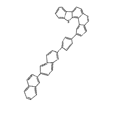 c1ccc2cc(-c3ccc4cc(-c5ccc(-c6ccc7ccc8ccc9c%10ccccc%10sc9c8c7c6)cc5)ccc4c3)ccc2c1